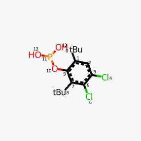 CC(C)(C)c1cc(Cl)c(Cl)c(C(C)(C)C)c1OP(O)O